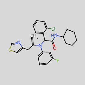 C=C(Cc1cscn1)N(c1cccc(F)c1)C(C(=O)NC1CCCCC1)c1ccccc1Cl